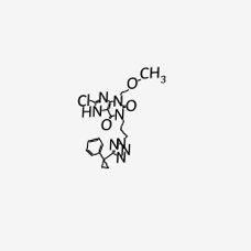 CCOCCn1c(=O)n(CCCn2nnc(C3(c4ccccc4)CC3)n2)c(=O)c2[nH]c(Cl)nc21